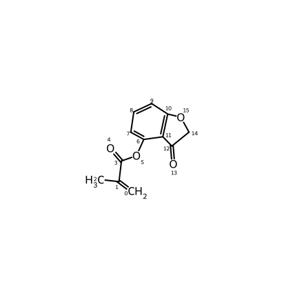 C=C(C)C(=O)Oc1cccc2c1C(=O)CO2